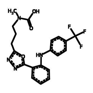 CN(CCCc1nnc(-c2ccccc2Nc2ccc(C(F)(F)F)cc2)o1)C(=O)O